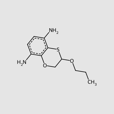 CCCOC1COc2c(N)ccc(N)c2S1